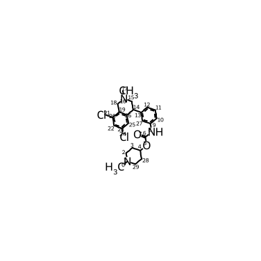 CN1CCC(OC(=O)Nc2cccc(C3CN(C)Cc4c(Cl)cc(Cl)cc43)c2)CC1